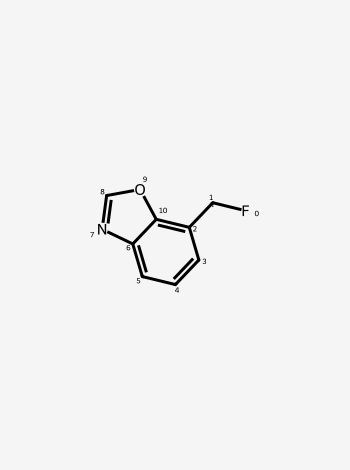 F[CH]c1cccc2ncoc12